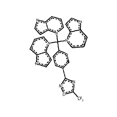 FC(F)(F)c1nc(-c2ccc(C(n3cccc4nccc3-4)(n3cccc4nccc3-4)n3cccc4nccc3-4)cc2)no1